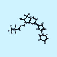 CC1(C)C(=O)N(CCO[Si](C)(C)C(C)(C)C)c2cc(-c3nnc(-c4ccncc4)o3)ccc21